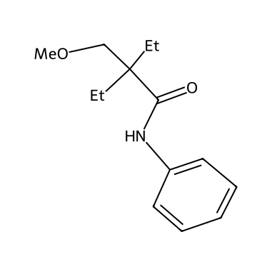 CCC(CC)(COC)C(=O)Nc1ccccc1